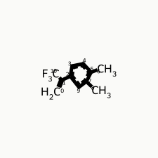 C=C(c1ccc(C)c(C)c1)C(F)(F)F